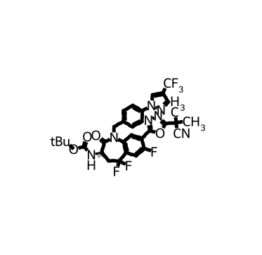 CC(C)(C)OC(=O)N[C@@H]1CC(F)(F)c2cc(F)c(-c3nnc(C(C)(C)C#N)o3)cc2N(Cc2ccc(-n3cc(C(F)(F)F)cn3)cc2)C1=O